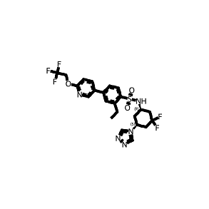 CCc1cc(-c2ccc(OCC(F)(F)F)nc2)ccc1S(=O)(=O)N[C@@H]1C[C@H](n2cnnc2)CC(F)(F)C1